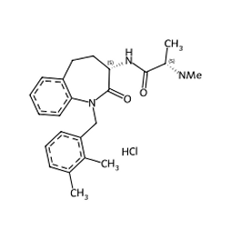 CN[C@@H](C)C(=O)N[C@H]1CCc2ccccc2N(Cc2cccc(C)c2C)C1=O.Cl